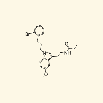 CCC(=O)NCCc1cn(CCCc2ccccc2Br)c2ccc(OC)cc12